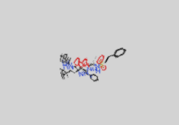 CC(C)CCC(N)(C(=O)NC(C)(C)C)[C@H](O)[C@H](Cc1ccccc1)NC(=O)[C@H](C)NS(=O)(=O)C=Cc1ccccc1